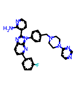 Nc1ncccc1-c1nc2ccc(-c3cccc(F)c3)nc2n1-c1ccc(CN2CCN(c3ccncn3)CC2)cc1